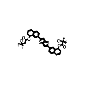 O=C(CC(F)(F)Cl)OC1CC=Cc2ccc(-c3cc4sc(-c5ccc6c(c5)C(OC(=O)C(F)(F)Cl)CC=C6)cc4s3)cc21